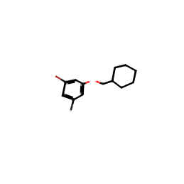 CCOC(=O)c1cc(Br)cc(OCC2CCCCC2)c1